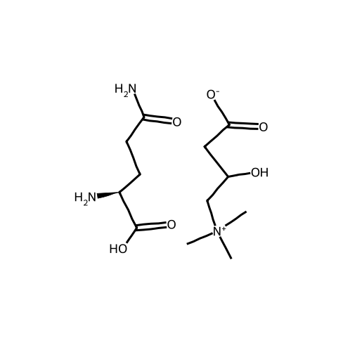 C[N+](C)(C)CC(O)CC(=O)[O-].NC(=O)CC[C@H](N)C(=O)O